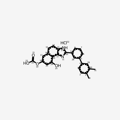 Cc1ccc(-c2cccc(-c3nc4c(ccc5cc(OC(=O)O)cc(O)c54)[nH]3)c2)cc1C.Cl